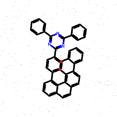 c1ccc(-c2nc(-c3ccccc3)nc(-c3ccc(-c4cccc5ccc6ccc7c8ccccc8ccc7c6c45)cc3)n2)cc1